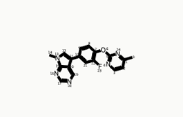 Cc1ccnc(Oc2ccc(-c3cn(C)c4ncncc34)cc2F)n1